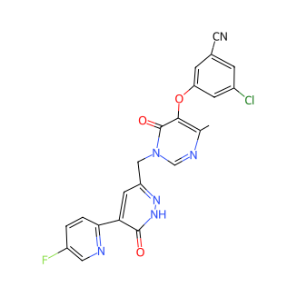 Cc1ncn(Cc2cc(-c3ccc(F)cn3)c(=O)[nH]n2)c(=O)c1Oc1cc(Cl)cc(C#N)c1